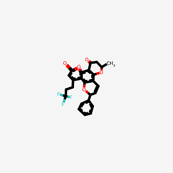 CC1CC(=O)c2c(c3c(c4c(CCC(F)(F)F)cc(=O)oc24)OC(c2ccccc2)C=C3)O1